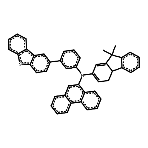 CC1(C)C2=CC(N(c3cccc(-c4ccc5sc6ccccc6c5c4)c3)c3cc4ccccc4c4ccccc34)=CCC2c2ccccc21